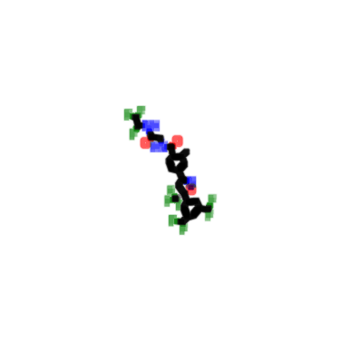 Cc1cc(C2=NO[C@](c3cc(C(F)F)cc(C(F)F)c3)(C(F)(F)F)C2)ccc1C(=O)NCC(=O)NC(F)C(F)F